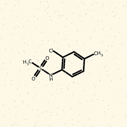 Cc1ccc(NS(C)(=O)=O)c(Cl)c1